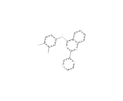 Fc1ccc(Nc2nc(-c3cnccn3)nc3ccccc23)cc1Cl